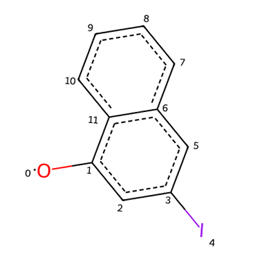 [O]c1cc(I)cc2ccccc12